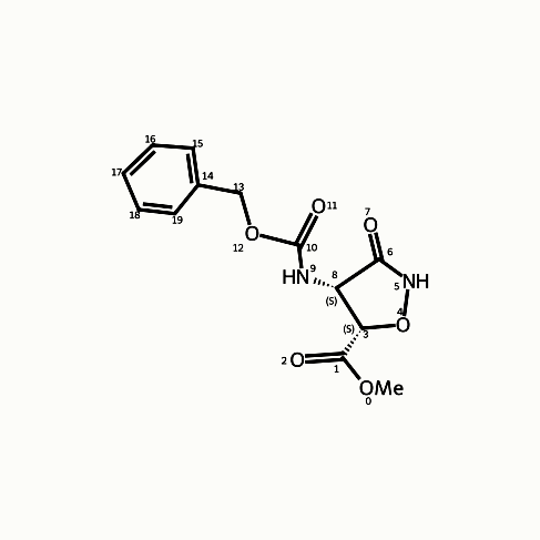 COC(=O)[C@H]1ONC(=O)[C@H]1NC(=O)OCc1ccccc1